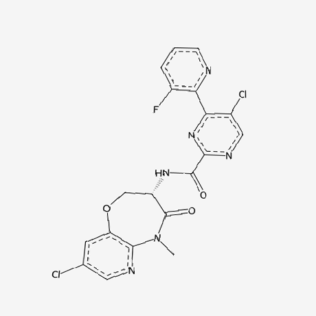 CN1C(=O)[C@@H](NC(=O)c2ncc(Cl)c(-c3ncccc3F)n2)COc2cc(Cl)cnc21